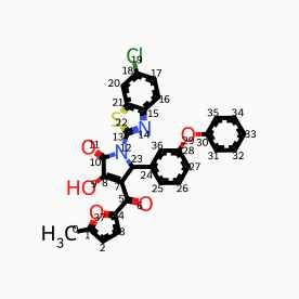 Cc1ccc(C(=O)C2=C(O)C(=O)N(c3nc4ccc(Cl)cc4s3)C2c2cccc(Oc3ccccc3)c2)o1